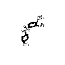 CCCc1cc(S(=O)(=O)Nc2ccc(C(F)(F)F)cc2)ccc1NN